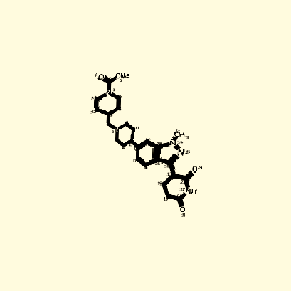 COC(=O)N1CCC(CN2CCC(c3ccc4c(C5CCC(=O)NC5=O)nn(C)c4c3)CC2)CC1